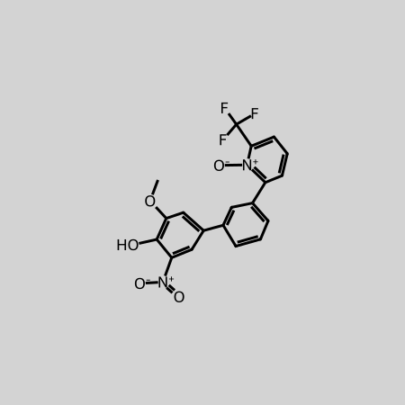 COc1cc(-c2cccc(-c3cccc(C(F)(F)F)[n+]3[O-])c2)cc([N+](=O)[O-])c1O